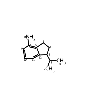 CC(C)C1CCc2c(N)cccc21